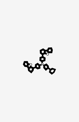 C1=CC(c2ccc(N(c3ccc(-c4cccc5c4oc4ccccc45)cc3)c3ccc(-c4cccc5c4oc4ccccc45)cc3)cc2)=CCC1